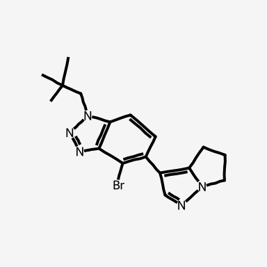 CC(C)(C)Cn1nnc2c(Br)c(-c3cnn4c3CCC4)ccc21